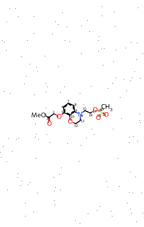 COC(=O)COc1cccc2c1OCCN2CCOS(C)(=O)=O